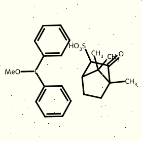 CC12CCC(C(S(=O)(=O)O)C1=O)C2(C)C.COI(c1ccccc1)c1ccccc1